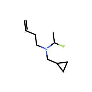 C=CCCN(CC1CC1)C(C)F